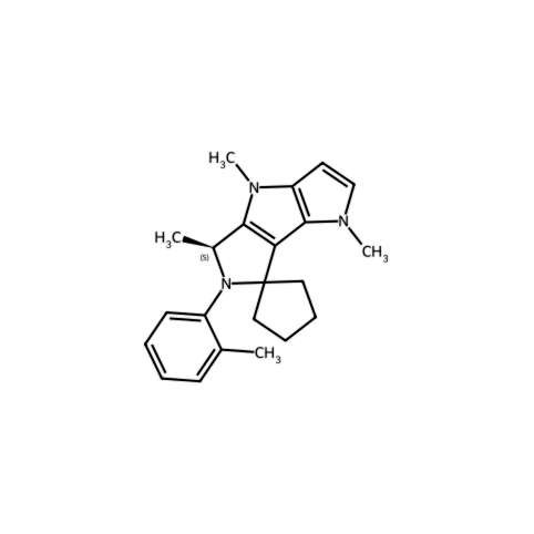 Cc1ccccc1N1[C@@H](C)c2c(c3c(ccn3C)n2C)C12CCCC2